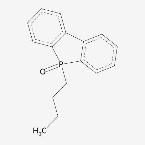 CCCCP1(=O)c2ccccc2-c2ccccc21